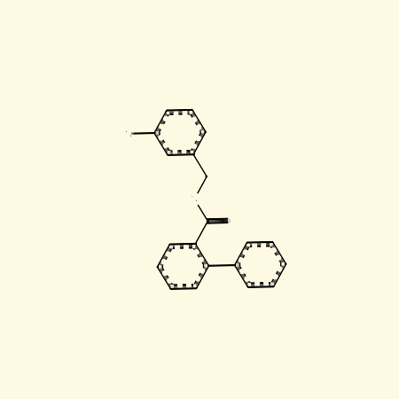 Nc1cccc(CNC(=O)c2ccccc2-c2ccccc2)c1